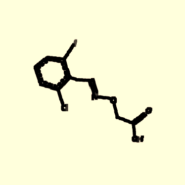 O=C(O)CO/N=C/c1c(Cl)cccc1I